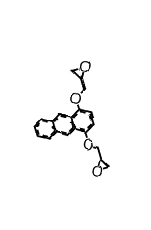 c1ccc2cc3c(OCC4CO4)ccc(OCC4CO4)c3cc2c1